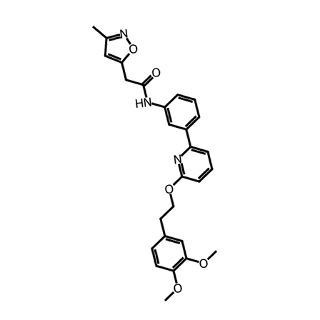 COc1ccc(CCOc2cccc(-c3cccc(NC(=O)Cc4cc(C)no4)c3)n2)cc1OC